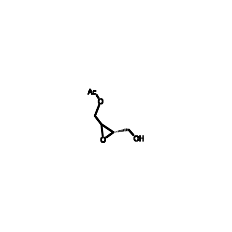 CC(=O)OCC1O[C@H]1CO